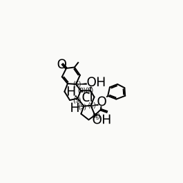 C=C(Oc1ccccc1)[C@@]1(O)CC[C@H]2[C@@H]3CCC4=CC(=O)C(C)=C[C@]4(C)[C@@]3(Cl)[C@@H](O)C[C@@]21C